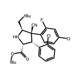 CC(C)(C)C[C@@H]1N[C@@H](C(=O)OC(C)(C)C)[C@@H](c2ccccc2Cl)[C@@]1(C#N)c1ccc(Cl)cc1F